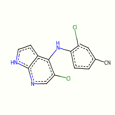 N#Cc1ccc(Nc2c(Cl)cnc3[nH]ccc23)c(Cl)c1